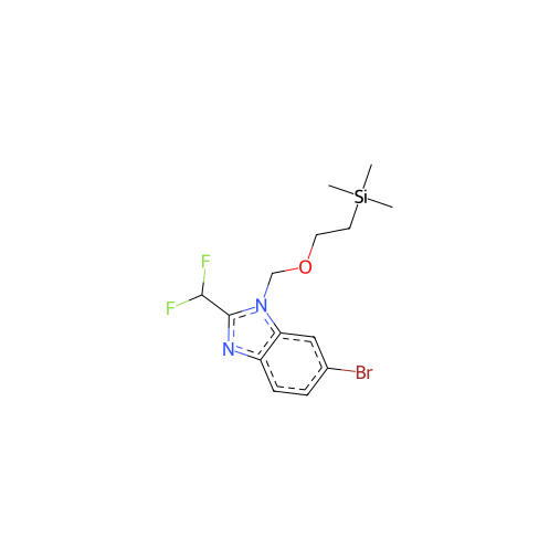 C[Si](C)(C)CCOCn1c(C(F)F)nc2ccc(Br)cc21